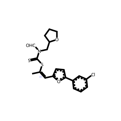 C/C(=C/c1ccc(-c2cccc(Cl)c2)o1)SC(=S)N(C=O)CC1CCCO1